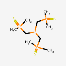 CP(C)(=S)CP(CP(C)(C)=S)CP(C)(C)=S